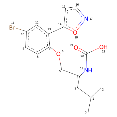 CC(C)CC(COc1ccc(Br)cc1-c1ccno1)NC(=O)O